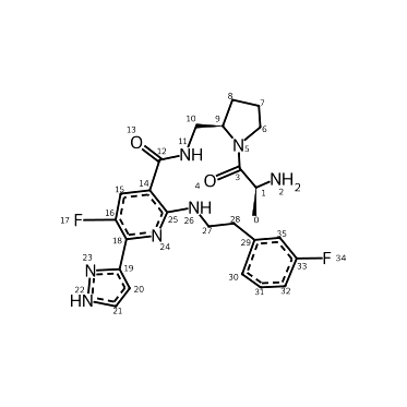 C[C@H](N)C(=O)N1CCC[C@@H]1CNC(=O)c1cc(F)c(-c2cc[nH]n2)nc1NCCc1cccc(F)c1